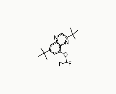 CC(C)(C)c1cc(OC(F)F)c2nc(C(C)(C)C)cnc2c1